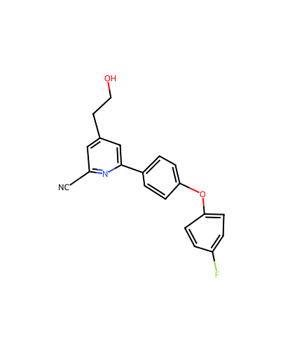 N#Cc1cc(CCO)cc(-c2ccc(Oc3ccc(F)cc3)cc2)n1